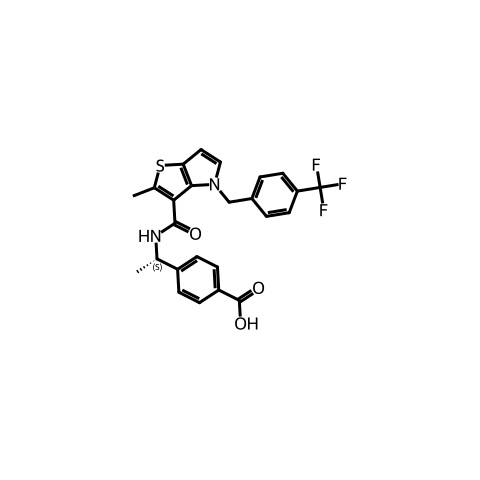 Cc1sc2ccn(Cc3ccc(C(F)(F)F)cc3)c2c1C(=O)N[C@@H](C)c1ccc(C(=O)O)cc1